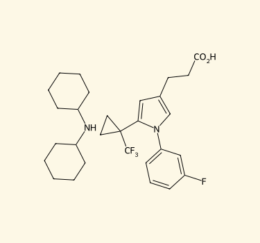 C1CCC(NC2CCCCC2)CC1.O=C(O)CCc1cc(C2(C(F)(F)F)CC2)n(-c2cccc(F)c2)c1